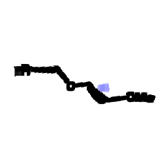 CCCCO/C=C/OC